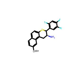 COc1ccc2ccc3c(c2c1)C[C@H](N)C(c1cc(F)c(F)cc1F)S3